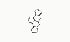 c1ccc2c(c1)CN1Cc3ccccc3-c3cccc-2c31